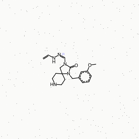 C=CN/N=C\N1CC2(CCNCC2)N(Cc2cccc(OC)c2)C1=O